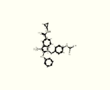 Cc1c(Oc2ccccc2)n(Cc2ccc(OC(F)F)cc2)c2ccc(C(=O)NC3CC3)cc12